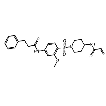 C=CC(=O)NC1CCN(S(=O)(=O)c2ccc(NC(=O)CCc3ccccc3)cc2OC)CC1